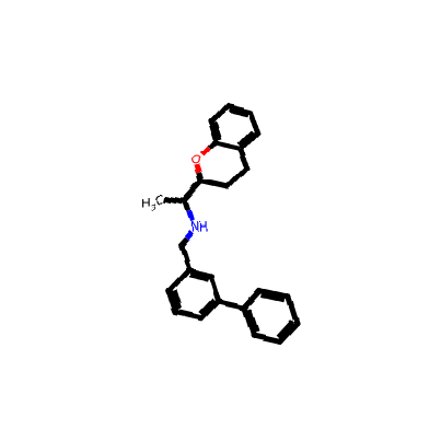 CC(NCc1cccc(-c2ccccc2)c1)C1CCc2ccccc2O1